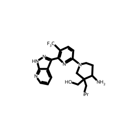 CC(C)CC1(CO)CN(c2ccc(C(F)(F)F)c(-c3n[nH]c4ncccc34)n2)CCC1N